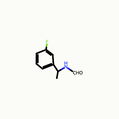 CC(NC=O)c1cccc(F)c1